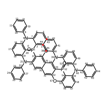 O=P12c3c4cccc3N(c3ccccc3)c3cccc(c31)N(c1ccccc1)c1cc3cc5c6c(c3c(c12)O4)N(c1ccccc1)c1cccc2c1P6(=O)c1c(cccc1N2c1ccccc1)O5